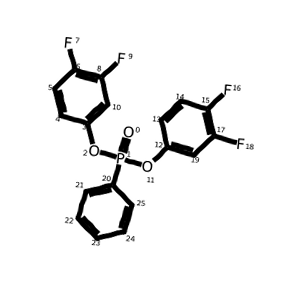 O=P(Oc1ccc(F)c(F)c1)(Oc1ccc(F)c(F)c1)c1ccccc1